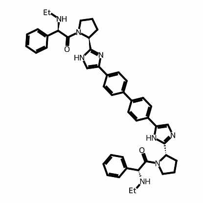 CCN[C@@H](C(=O)N1CCC[C@H]1c1nc(-c2ccc(-c3ccc(-c4cnc([C@@H]5CCCN5C(=O)[C@H](NCC)c5ccccc5)[nH]4)cc3)cc2)c[nH]1)c1ccccc1